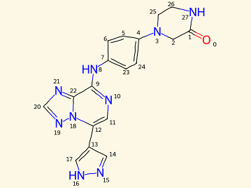 O=C1CN(c2ccc(Nc3ncc(-c4cn[nH]c4)n4ncnc34)cc2)CCN1